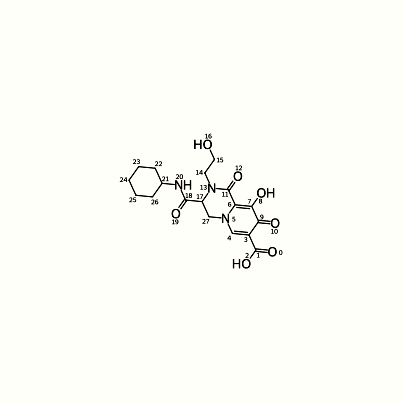 O=C(O)c1cn2c(c(O)c1=O)C(=O)N(CCO)C(C(=O)NC1CCCCC1)C2